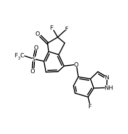 O=C1c2c(S(=O)(=O)C(F)(F)F)ccc(Oc3ccc(F)c4[nH]ncc34)c2CC1(F)F